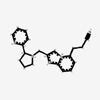 N#CCCc1cccc2nc(CN3CCCC3c3ccccn3)cn12